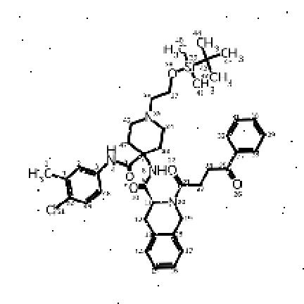 Cc1cc(NC(=O)C2(NC(=O)[C@@H]3Cc4ccccc4CN3C(=O)CCC(=O)c3ccccc3)CCN(CCO[Si](C)(C)C(C)(C)C)CC2)ccc1Cl